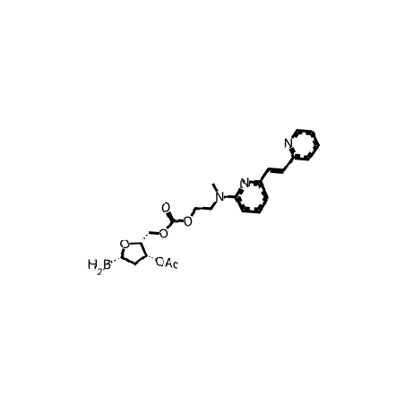 B[C@H]1C[C@@H](OC(C)=O)[C@@H](COC(=O)OCCN(C)c2cccc(/C=C/c3ccccn3)n2)O1